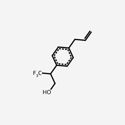 C=CCc1ccc(C(CO)C(F)(F)F)cc1